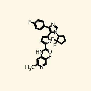 Cc1cc(NC(=O)c2ccc(-c3c(-c4ccc(F)cc4)ncn3C3CCCC3(F)F)o2)c(F)cn1